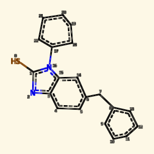 Sc1nc2ccc(Cc3ccccc3)cc2n1-c1ccccc1